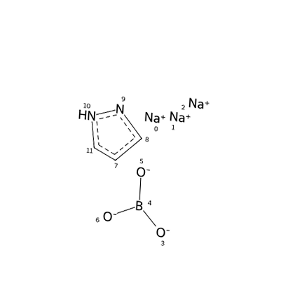 [Na+].[Na+].[Na+].[O-]B([O-])[O-].c1cn[nH]c1